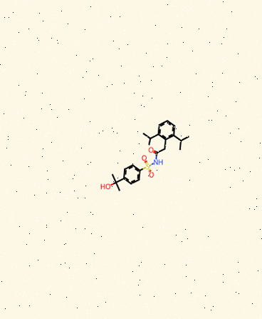 CC(C)c1cccc(C(C)C)c1CC(=O)NS(=O)(=O)c1ccc(C(C)(C)O)cc1